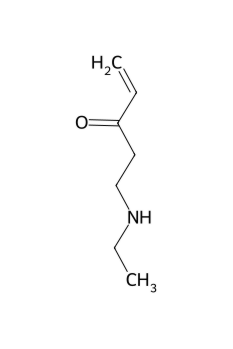 C=CC(=O)CCNCC